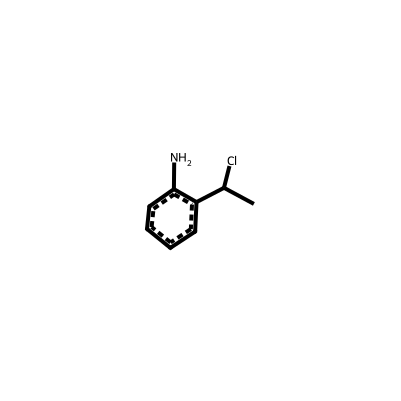 CC(Cl)c1ccccc1N